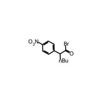 CCCCC(C(=O)Br)c1ccc([N+](=O)[O-])cc1